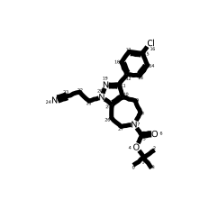 CC(C)(C)OC(=O)N1CCc2c(-c3ccc(Cl)cc3)nn(CCC#N)c2CC1